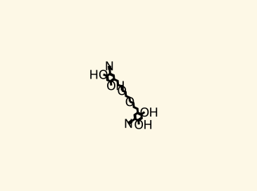 N#Cc1cc(CCCOCCCOCCCc2cc(C#N)c(O)cc2O)c(O)cc1O